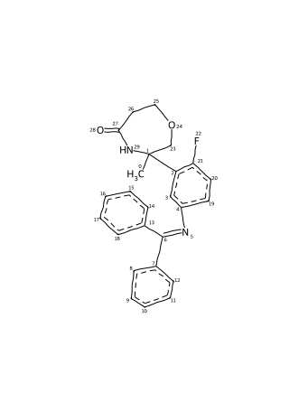 CC1(c2cc(N=C(c3ccccc3)c3ccccc3)ccc2F)COCCC(=O)N1